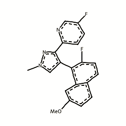 COc1ccc2ccc(F)c(-c3cn(C)nc3-c3ccc(F)cn3)c2c1